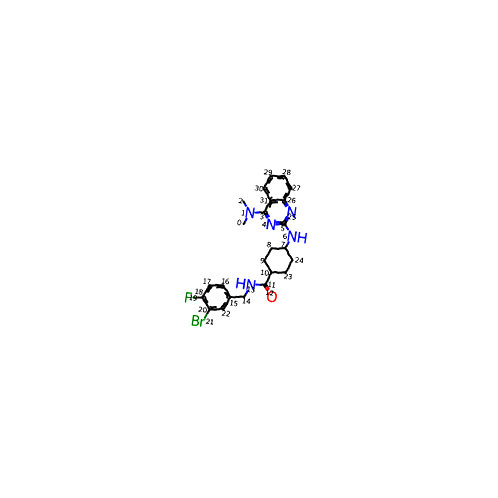 CN(C)c1nc(NC2CCC(C(=O)NCc3ccc(F)c(Br)c3)CC2)nc2ccccc12